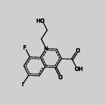 O=C(O)c1cn(CCO)c2c(F)cc(I)cc2c1=O